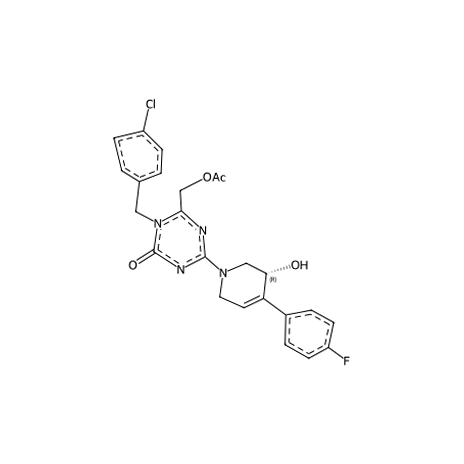 CC(=O)OCc1nc(N2CC=C(c3ccc(F)cc3)[C@@H](O)C2)nc(=O)n1Cc1ccc(Cl)cc1